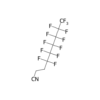 N#CCCC(F)(F)C(F)(F)C(F)(F)C(F)(F)C(F)(F)C(F)(F)F